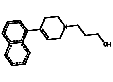 OCCCN1CC=C(c2cccc3ccccc23)CC1